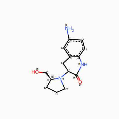 Nc1ccc2c(c1)CC(N1CCC[C@H]1CO)C(=O)N2